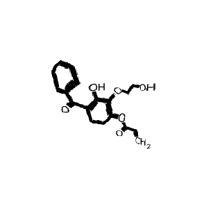 C=CC(=O)Oc1ccc(C(=O)c2ccccc2)c(O)c1OCCO